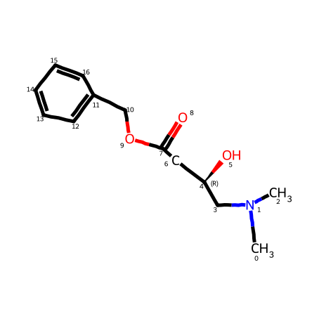 CN(C)C[C@H](O)CC(=O)OCc1ccccc1